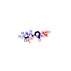 C[C@H](N)C(=O)N(C)NC(=O)[C@@H]1CCC2CN1C(=O)N2OS(=O)(=O)O